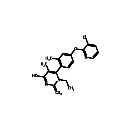 C=C1N=C(O)C(C)=C(c2ccc(Oc3ncccc3Cl)cc2C)N1CC